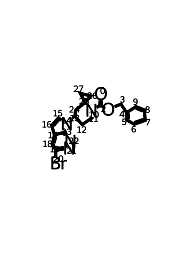 O=C(OCc1ccccc1)N1CC[C@H](n2ccc3cc(Br)nnc32)CC12CC2